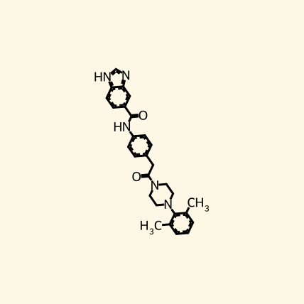 Cc1cccc(C)c1N1CCN(C(=O)Cc2ccc(NC(=O)c3ccc4[nH]cnc4c3)cc2)CC1